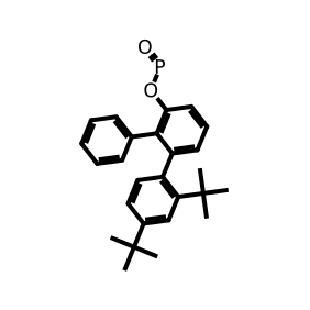 CC(C)(C)c1ccc(-c2cccc(OP=O)c2-c2ccccc2)c(C(C)(C)C)c1